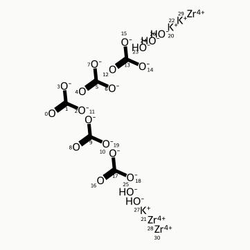 O=C([O-])[O-].O=C([O-])[O-].O=C([O-])[O-].O=C([O-])[O-].O=C([O-])[O-].[K+].[K+].[K+].[OH-].[OH-].[OH-].[OH-].[OH-].[Zr+4].[Zr+4].[Zr+4]